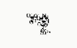 Cn1cnnn1.[Cu+2].[O-][I+2]([O-])[O-].[O-][I+2]([O-])[O-]